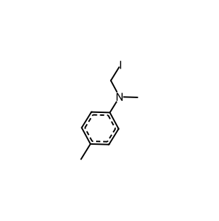 Cc1ccc(N(C)CI)cc1